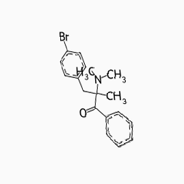 CN(C)C(C)(Cc1ccc(Br)cc1)C(=O)c1ccccc1